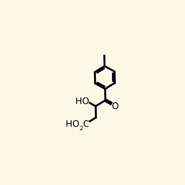 Cc1ccc(C(=O)C(O)CC(=O)O)cc1